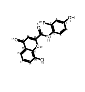 O=C(Nc1ccc(O)cc1F)c1cc(=O)c2cccc(Cl)c2o1